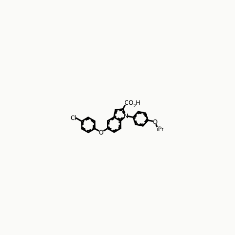 CC(C)Oc1ccc(-n2c(C(=O)O)cc3cc(Oc4ccc(Cl)cc4)ccc32)cc1